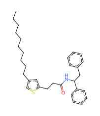 CCCCCCCCCCc1csc(CCC(=O)NC(Cc2ccccc2)c2ccccc2)c1